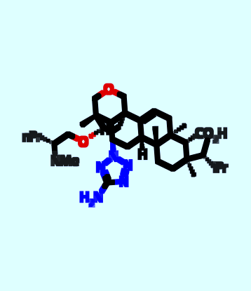 CCC[C@H](CO[C@H]1[C@H](n2nnc(N)n2)C[C@@]23COC[C@]1(C)[C@@H]2CC[C@H]1C3=CC[C@@]2(C)[C@H](C(=O)O)[C@@](C)([C@H](C)C(C)C)CC[C@]12C)NC